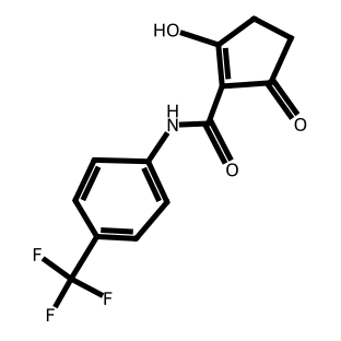 O=C1CCC(O)=C1C(=O)Nc1ccc(C(F)(F)F)cc1